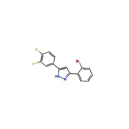 Fc1ccc(-c2cc(-c3ccccc3Br)n[nH]2)cc1F